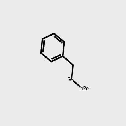 CC[CH][Se]Cc1ccccc1